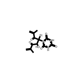 C=C(C)C(=O)C(O)C(CC)(C(=O)C(=C)C)n1c(=O)[nH]c(=O)[nH]c1=O